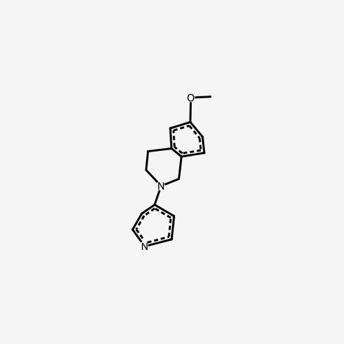 COc1ccc2c(c1)CCN(c1ccncc1)C2